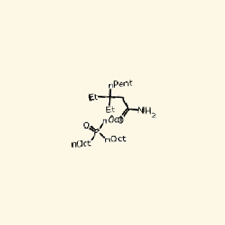 CCCCCC(CC)(CC)CC(N)=O.CCCCCCCCP(=O)(CCCCCCCC)CCCCCCCC